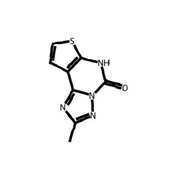 Cc1nc2c3ccsc3[nH]c(=O)n2n1